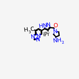 Cc1cc(-c2[nH]nc(C(=O)N3CCC(N)C3)c2C(C)C)cn2ncnc12